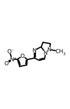 CN1CCC2N=C(c3ccc([N+](=O)[O-])o3)C=CN21